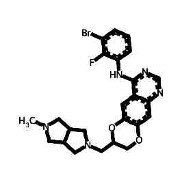 CN1CC2CN(CC3COc4cc5ncnc(Nc6cccc(Br)c6F)c5cc4O3)CC2C1